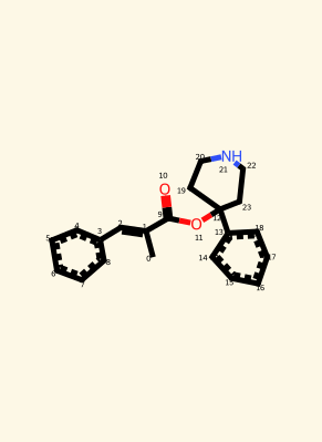 C/C(=C\c1ccccc1)C(=O)OC1(c2ccccc2)CCNCC1